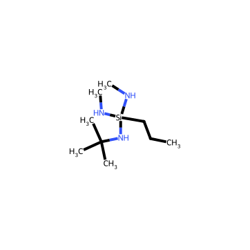 CCC[Si](NC)(NC)NC(C)(C)C